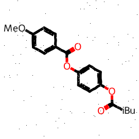 CCC(C)C(=O)Oc1ccc(OC(=O)c2ccc(OC)cc2)cc1